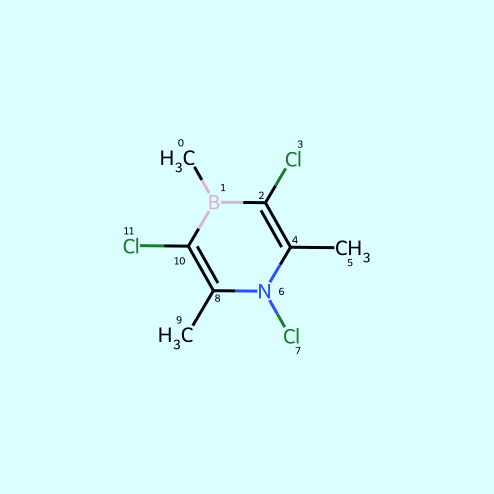 CB1C(Cl)=C(C)N(Cl)C(C)=C1Cl